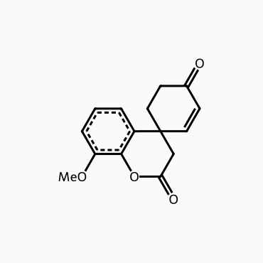 COc1cccc2c1OC(=O)CC21C=CC(=O)CC1